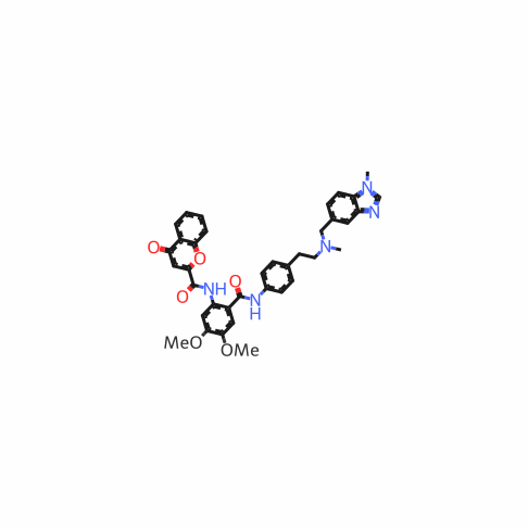 COc1cc(NC(=O)c2cc(=O)c3ccccc3o2)c(C(=O)Nc2ccc(CCN(C)Cc3ccc4c(c3)ncn4C)cc2)cc1OC